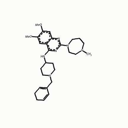 COc1cc2nc(N3CCCN(C)CC3)nc(NC3CCN(CC4=CCCC=C4)CC3)c2cc1OC